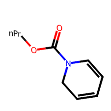 CCCOC(=O)N1C=CC=CC1